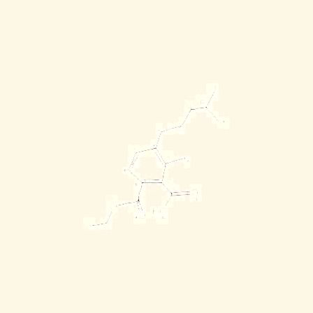 CCOC(=O)c1ccc(CCCC(C)C)c(C)c1C(=O)O